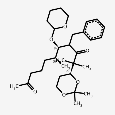 CC(=O)CCC[C@H](C)[C@@H](OC1CCCCO1)C(Cc1ccccc1)C(=O)C(C)(C)[C@@H]1CCOC(C)(C)O1